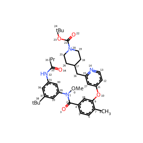 CON(C(=O)c1ccc(C)c(Oc2ccnc(CC3CCN(C(=O)OC(C)(C)C)CC3)c2)c1)c1cc(NC(=O)C(C)C)cc(C(C)(C)C)c1